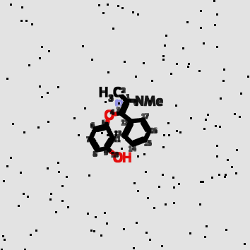 CN/C(C)=C(/Oc1cccc(O)c1)c1ccccc1